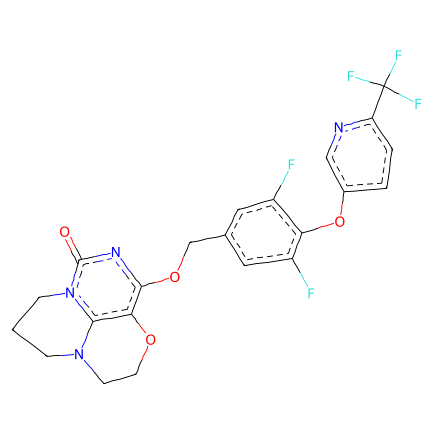 O=c1nc(OCc2cc(F)c(Oc3ccc(C(F)(F)F)nc3)c(F)c2)c2c3n1CCCN3CCO2